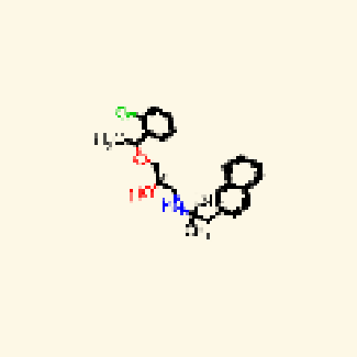 CC(OC[C@H](O)CNC(C)(C)Cc1ccc2ccccc2c1)c1ccccc1Cl